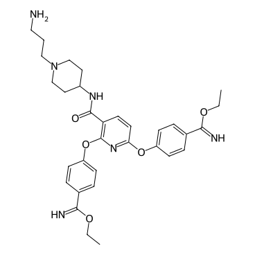 CCOC(=N)c1ccc(Oc2ccc(C(=O)NC3CCN(CCCN)CC3)c(Oc3ccc(C(=N)OCC)cc3)n2)cc1